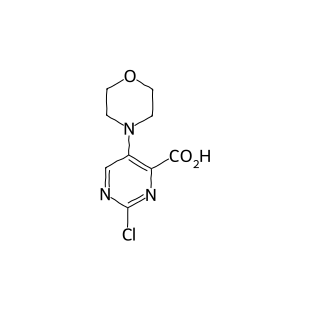 O=C(O)c1nc(Cl)ncc1N1CCOCC1